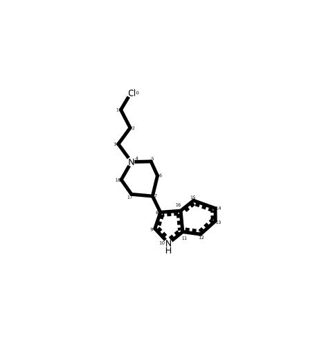 ClCCCN1CCC(c2c[nH]c3ccccc23)CC1